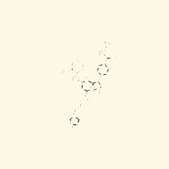 Cc1cc(-c2cnn3c(NCCCn4ccnc4)cc(N[C@H]4CCCC[C@@H]4O)nc23)ccc1C(=O)NC1CC1